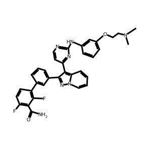 CN(C)CCOc1cccc(Nc2nccc(-c3c(-c4cccc(-c5ccc(F)c(C(N)=O)c5F)c4)nn4ccccc34)n2)c1